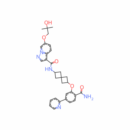 CC(C)(O)COc1ccc2c(C(=O)NC3CC4(C3)CC(Oc3cc(-c5ccccn5)ccc3C(N)=O)C4)cnn2c1